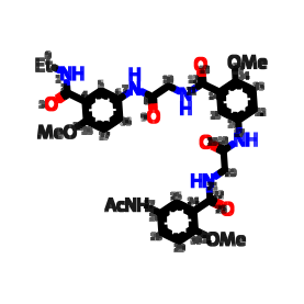 CCNC(=O)c1cc(NC(=O)CNC(=O)c2cc(NC(=O)CNC(=O)c3cc(NC(C)=O)ccc3OC)ccc2OC)ccc1OC